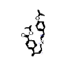 C=C(\C=C/C=N/C=C/c1ccc(OC(C)C)cc1)c1ccc(C(=O)OC(C)C)cc1